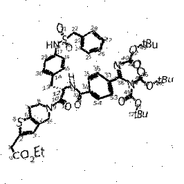 CCOC(=O)Cc1cc2c(s1)CCN(C(=O)[C@H](Cc1ccc(NS(=O)(=O)Cc3ccccc3)cc1)NC(=O)c1ccc(C(=NC(=O)OC(C)(C)C)N(C(=O)OC(C)(C)C)C(=O)OC(C)(C)C)cc1)C2